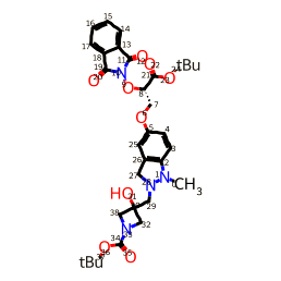 CN1c2ccc(OC[C@H](ON3C(=O)c4ccccc4C3=O)C(=O)OC(C)(C)C)cc2CN1CC1(O)CN(C(=O)OC(C)(C)C)C1